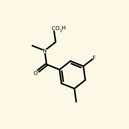 CC1C=C(C(=O)N(C)CC(=O)O)C=C(F)C1